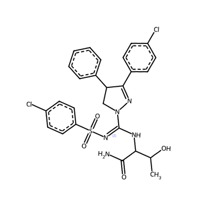 CC(O)C(N/C(=N/S(=O)(=O)c1ccc(Cl)cc1)N1CC(c2ccccc2)C(c2ccc(Cl)cc2)=N1)C(N)=O